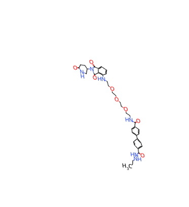 CCCNNC(=O)c1ccc(-c2ccc(C(=O)NCCOCCOCCOCCNc3cccc4c3C(=O)N(C3CCC(=O)NC3)C4=O)cc2)cc1